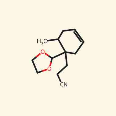 CC1CC=CCC1(CCC#N)C1OCCO1